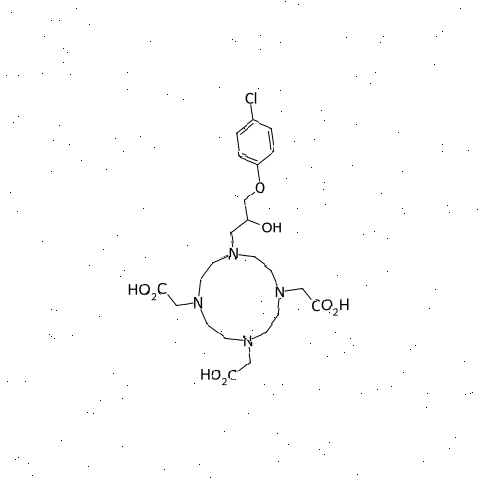 O=C(O)CN1CCN(CC(=O)O)CCN(CC(O)COc2ccc(Cl)cc2)CCN(CC(=O)O)CC1